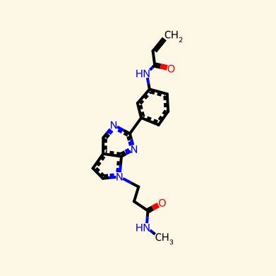 C=CC(=O)Nc1cccc(-c2ncc3ccn(CCC(=O)NC)c3n2)c1